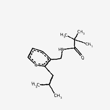 CC(C)Cc1bcccc1CBC(=O)C(C)(C)C